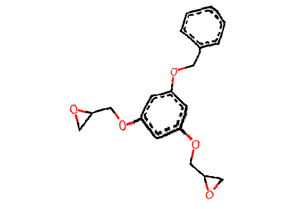 c1ccc(COc2cc(OCC3CO3)cc(OCC3CO3)c2)cc1